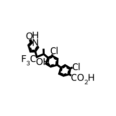 CC(c1ccc(-c2ccc(C(=O)O)c(Cl)c2)cc1Cl)C(O)(c1ccc(=O)[nH]c1)C(F)(F)F